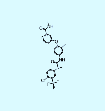 CNC(=O)c1cc(Oc2ccc(NC(=O)Nc3ccc(Cl)c(C(F)(F)F)c3)cc2C)ccn1